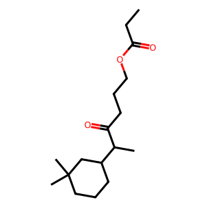 CCC(=O)OCCCC(=O)C(C)C1CCCC(C)(C)C1